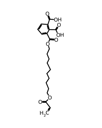 C=CC(=O)OCCCCCCCCCCOC(=O)c1cccc(C(=O)O)c1C(=O)O